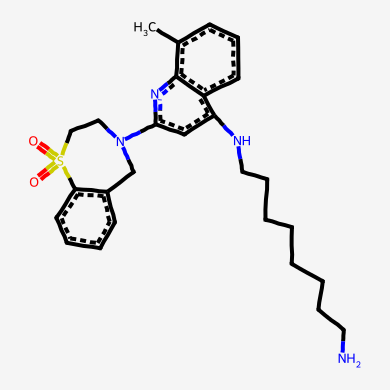 Cc1cccc2c(NCCCCCCCCN)cc(N3CCS(=O)(=O)c4ccccc4C3)nc12